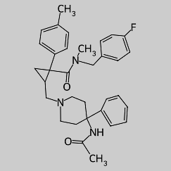 CC(=O)NC1(c2ccccc2)CCN(CC2CC2(C(=O)N(C)Cc2ccc(F)cc2)c2ccc(C)cc2)CC1